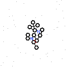 c1ccc(-c2ccc(N(c3ccccc3-c3ccccc3-c3ccc4c5ccccc5n(-c5ccc6c(c5)C(c5ccccc5)(c5ccccc5)c5ccccc5-6)c4c3)c3cccc4ccccc34)cc2)cc1